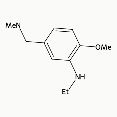 CCNc1cc(CNC)ccc1OC